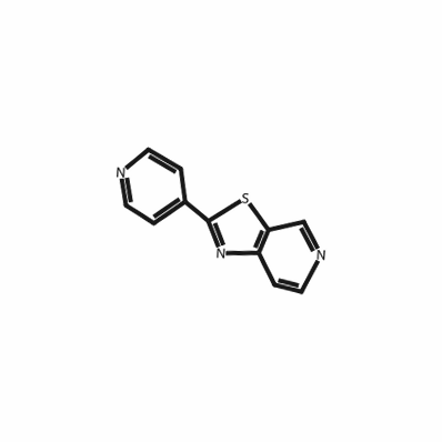 c1cc(-c2nc3ccncc3s2)ccn1